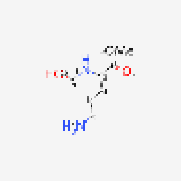 COC(=O)C(CCCN)NCO